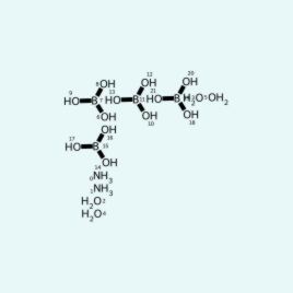 N.N.O.O.O.O.OB(O)O.OB(O)O.OB(O)O.OB(O)O